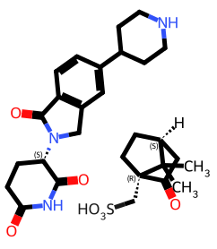 CC1(C)[C@H]2CC[C@]1(CS(=O)(=O)O)C(=O)C2.O=C1CC[C@H](N2Cc3cc(C4CCNCC4)ccc3C2=O)C(=O)N1